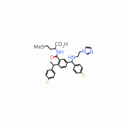 CSCC[C@H](NC(=O)c1cc(C(NCCn2ccnc2)c2ccc(F)cc2)ccc1C(C)c1ccc(F)cc1)C(=O)O